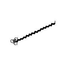 Cl[Si](Cl)(Cl)CCCCCCCCCCCCCCCCCCCCCCCCCCCI